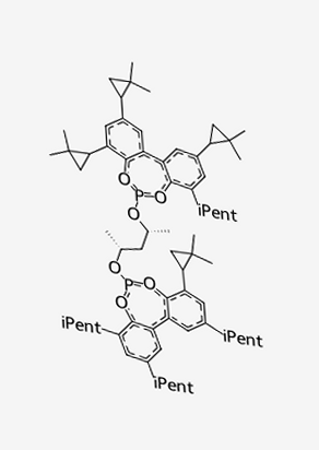 CCCC(C)c1cc(C(C)CCC)c2op(O[C@H](C)C[C@@H](C)Op3oc4c(C(C)CCC)cc(C5CC5(C)C)cc4c4cc(C5CC5(C)C)cc(C5CC5(C)C)c4o3)oc3c(C4CC4(C)C)cc(C(C)CCC)cc3c2c1